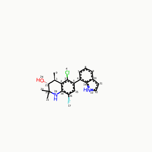 C[C@H]1c2c(Cl)c(-c3cccc4cc[nH]c34)cc(F)c2NC(C)(C)[C@@H]1O